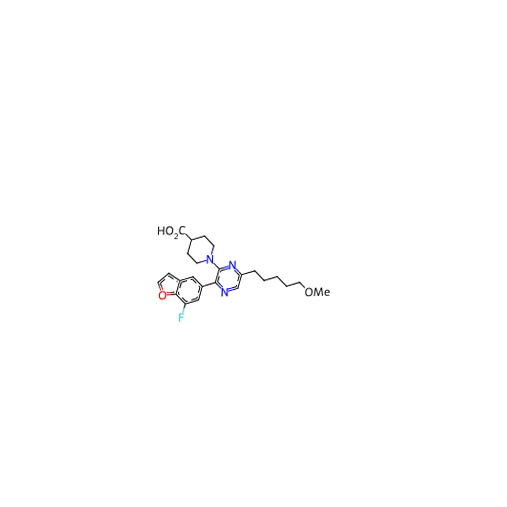 COCCCCCc1cnc(-c2cc(F)c3occc3c2)c(N2CCC(C(=O)O)CC2)n1